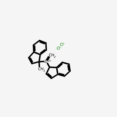 [CH2]=[Zr+2]([CH]1C=Cc2ccccc21)[C]1(C)C=Cc2ccccc21.[Cl-].[Cl-]